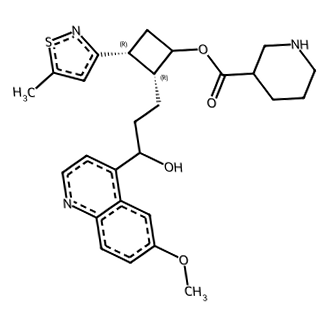 COc1ccc2nccc(C(O)CC[C@H]3C(OC(=O)C4CCCNC4)C[C@H]3c3cc(C)sn3)c2c1